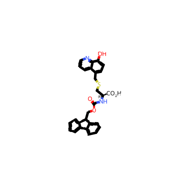 O=C(N[C@@H](CSCc1ccc(O)c2ncccc12)C(=O)O)OCC1c2ccccc2-c2ccccc21